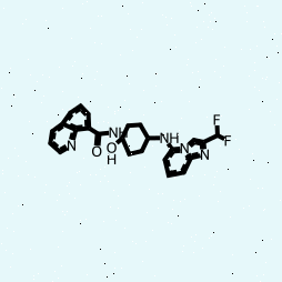 O=C(NC1(O)CCC(Nc2cccc3nc(C(F)F)cn23)CC1)c1cccc2cccnc12